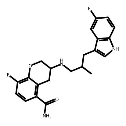 CC(CNC1COc2c(F)ccc(C(N)=O)c2C1)Cc1c[nH]c2ccc(F)cc12